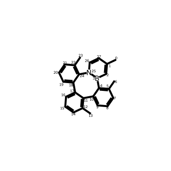 CC1=CB2c3c(C)cccc3-c3c(C)cccc3-c3cccc(C)c3N2C=C1